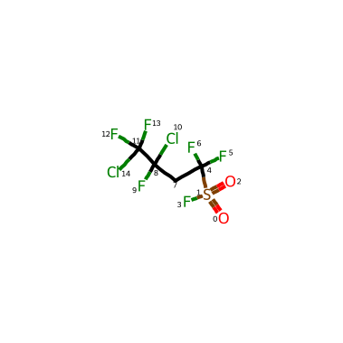 O=S(=O)(F)C(F)(F)CC(F)(Cl)C(F)(F)Cl